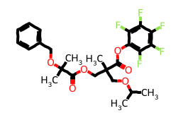 CC(C)OCC(C)(COC(=O)C(C)(C)OCc1ccccc1)C(=O)Oc1c(F)c(F)c(F)c(F)c1F